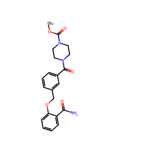 CC(C)(C)OC(=O)N1CCN(C(=O)c2cccc(COc3ccccc3C(N)=O)c2)CC1